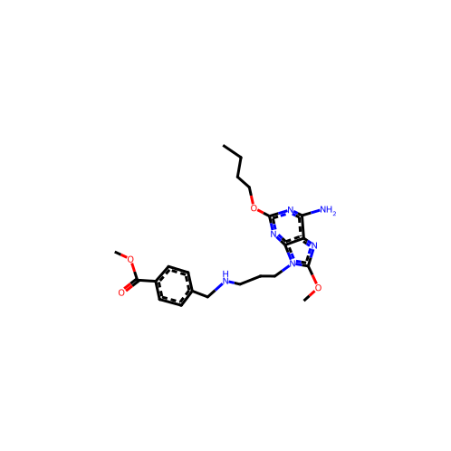 CCCCOc1nc(N)c2nc(OC)n(CCCNCc3ccc(C(=O)OC)cc3)c2n1